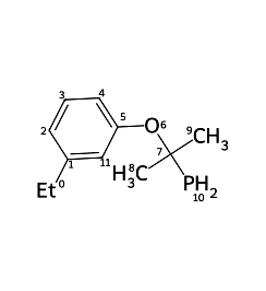 CCc1cccc(OC(C)(C)P)c1